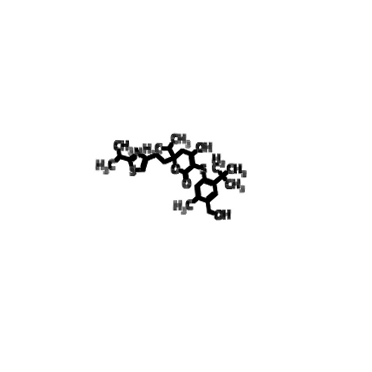 Cc1cc(SC2=C(O)CC(CCc3csc(C(C)C)n3)(C(C)C)OC2=O)c(C(C)(C)C)cc1CO